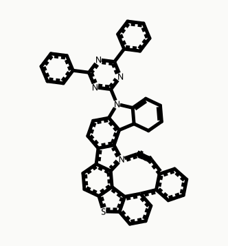 C1=CCC2C(=C1)N(c1nc(-c3ccccc3)nc(-c3ccccc3)n1)c1ccc3c4ccc5sc6cccc7c8ccccc8c8ccccc8n(c3c12)c4c5c67